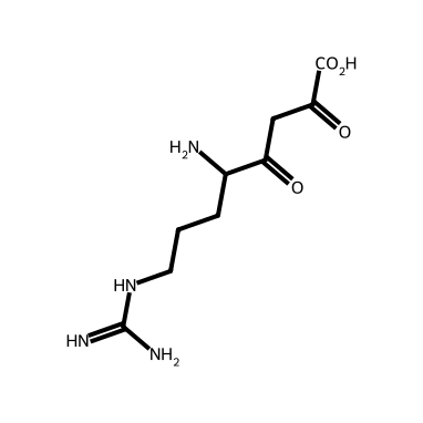 N=C(N)NCCCC(N)C(=O)CC(=O)C(=O)O